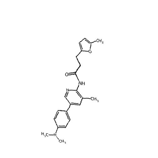 Cc1ccc(CCC(=O)Nc2ncc(-c3ccc(N(C)C)cc3)cc2C)o1